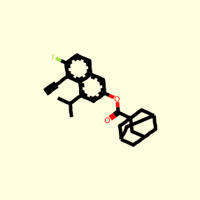 C#Cc1c(F)ccc2cc(OC(=O)C34CC5CC(CC(C5)C3)C4)cc(C(C)C)c12